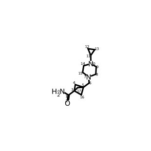 NC(=O)C12CC(CN3CCN(C4CC4)CC3)(C1)C2